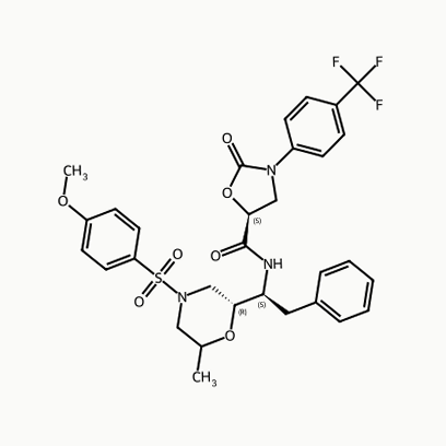 COc1ccc(S(=O)(=O)N2CC(C)O[C@@H]([C@H](Cc3ccccc3)NC(=O)[C@@H]3CN(c4ccc(C(F)(F)F)cc4)C(=O)O3)C2)cc1